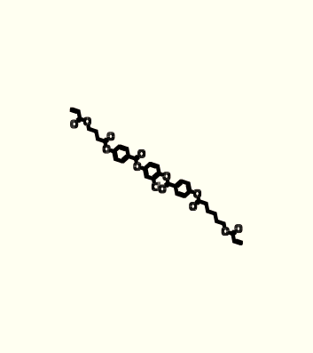 C=CC(=O)OCCCCCC(=O)Oc1ccc(C(=O)Oc2ccc(OC(=O)c3ccc(OC(=O)CCCOC(=O)C=C)cc3)cc2Cl)cc1